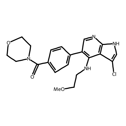 COCCNc1c(-c2ccc(C(=O)N3CCOCC3)cc2)cnc2[nH]cc(Cl)c12